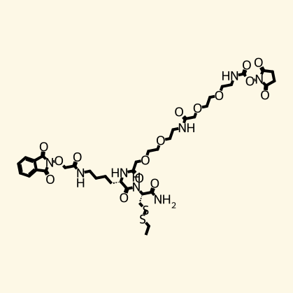 CCSSC[C@H](NC(=O)[C@H](CCCCNC(=O)CON1C(=O)c2ccccc2C1=O)NC(=O)COCCOCCNC(=O)COCCOCCNC(=O)ON1C(=O)CCC1=O)C(N)=O